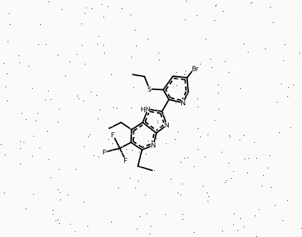 CCSc1cc(Br)cnc1-c1nc2nc(CC)c(C(F)(F)F)c(CC)c2[nH]1